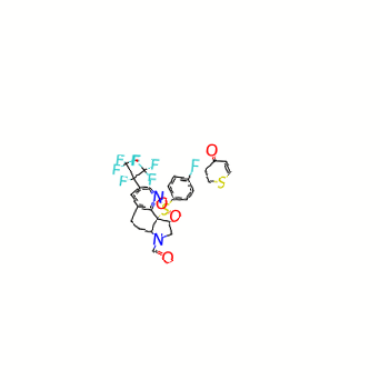 O=C1C=CSCC1.O=CN1CCC2(S(=O)(=O)c3ccc(F)cc3)c3ncc(C(F)(C(F)(F)F)C(F)(F)F)cc3CCC12